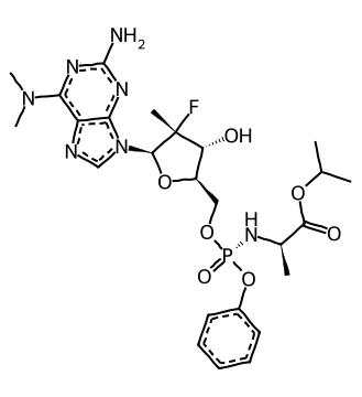 CC(C)OC(=O)[C@@H](C)N[P@](=O)(OC[C@H]1O[C@@H](n2cnc3c(N(C)C)nc(N)nc32)[C@](C)(F)[C@@H]1O)Oc1ccccc1